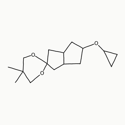 CC1(C)COC2(CC3CC(OC4CC4)CC3C2)OC1